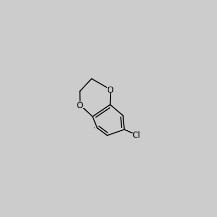 Clc1c[c]c2c(c1)OCCO2